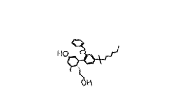 CCCCCCC(C)(C)c1ccc([C@@H]2C[C@H](O)C[C@H](C)[C@H]2CCCO)c(OCc2ccccc2)c1